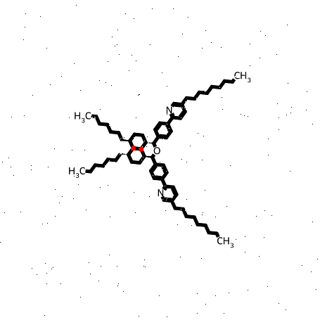 CCCCCCCCCc1ccc(-c2ccc(C(OC(c3ccc(-c4ccc(CCCCCCCCC)cn4)cc3)[C@H]3CC[C@H](CCCCCCC)CC3)[C@H]3CC[C@H](CCCCCCC)CC3)cc2)nc1